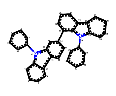 c1ccc(-n2c3ccccc3c3ccc(-c4cccc5c6ccccc6n(-c6ccccc6)c45)cc32)cc1